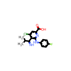 CC(C)C(=N)c1c(Cl)cc(C(=O)O)nc1Nc1ccc(F)cc1